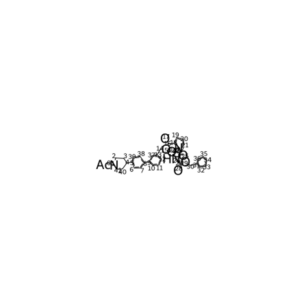 CC(=O)N1CCC(c2ccc(-c3cccc(COC(=O)c4cccn4S(=O)(=O)NC(=O)OCc4ccccc4)c3)cc2)CC1